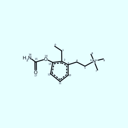 CCc1c(CC[N+](C)(C)C)cccc1OC(N)=O